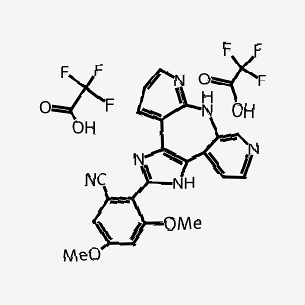 COc1cc(C#N)c(-c2nc3c([nH]2)-c2ccncc2Nc2ncccc2-3)c(OC)c1.O=C(O)C(F)(F)F.O=C(O)C(F)(F)F